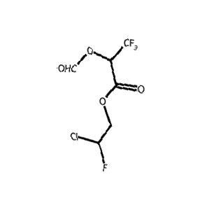 O=[C]OC(C(=O)OCC(F)Cl)C(F)(F)F